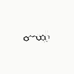 O=C(/C=C/c1ccc2c(n1)C(=O)C1=C(C2=O)S(=O)(=O)CCN1)c1ccccc1